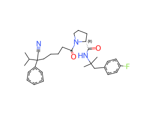 CC(C)C(C#N)(CCCCC(=O)N1CCC[C@@H]1C(=O)NC(C)(C)Cc1ccc(F)cc1)c1ccccc1